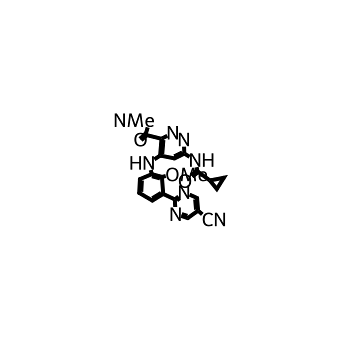 CNC(=O)c1nnc(NC(=O)C2CC2)cc1Nc1cccc(-c2ncc(C#N)cn2)c1OC